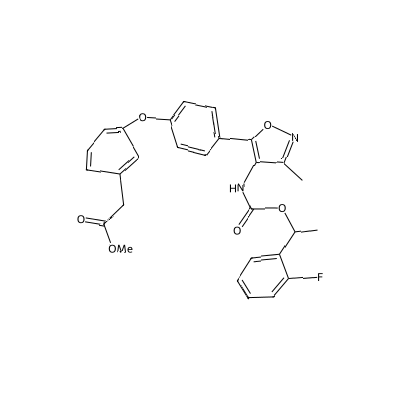 COC(=O)Cc1cccc(Oc2ccc(-c3onc(C)c3NC(=O)OC(C)c3ccccc3F)cc2)c1